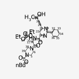 CCCCOC(=O)N1CCN(C(=O)C(CP(=O)(OCC)OCC)NC(=O)c2cc(C#C[C@@H](C)O)nc(-c3ccccc3)n2)CC1